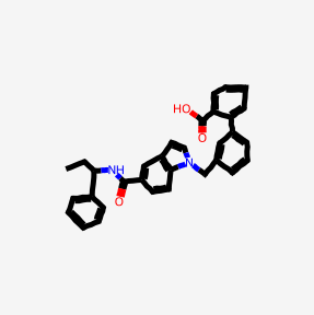 CCC(NC(=O)c1ccc2c(ccn2Cc2cccc(-c3ccccc3C(=O)O)c2)c1)c1ccccc1